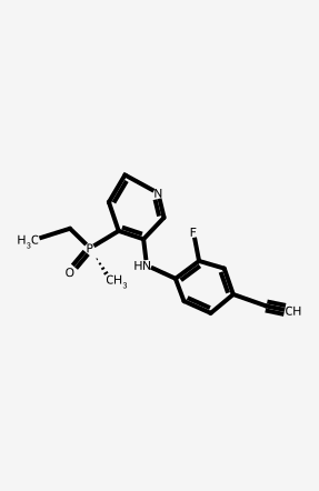 C#Cc1ccc(Nc2cnccc2[P@@](C)(=O)CC)c(F)c1